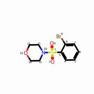 O=S(=O)(c1c[c]ccc1Br)N1CCOCC1